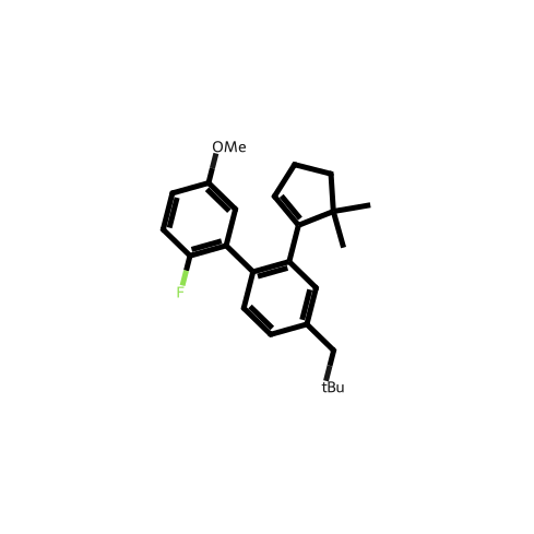 COc1ccc(F)c(-c2ccc(CC(C)(C)C)cc2C2=CCCC2(C)C)c1